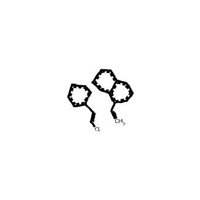 C=Cc1cccc2ccccc12.ClC=Cc1ccccc1